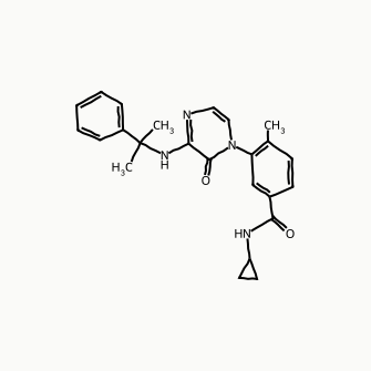 Cc1ccc(C(=O)NC2CC2)cc1-n1ccnc(NC(C)(C)c2ccccc2)c1=O